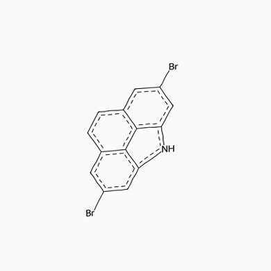 Brc1cc2ccc3cc(Br)cc4[nH]c(c1)c2c34